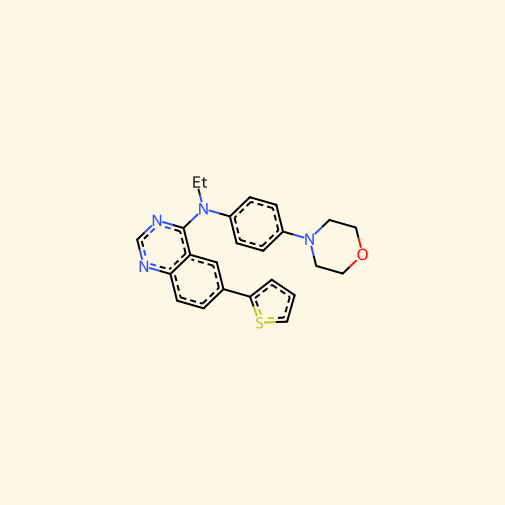 CCN(c1ccc(N2CCOCC2)cc1)c1ncnc2ccc(-c3cccs3)cc12